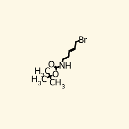 CC(C)(C)OC(=O)NCC/C=C/CBr